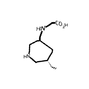 C[C@@H]1CNCC(NC(=O)O)C1